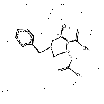 CC(=O)N1[C@H](CC(=O)O)CN(Cc2ccccc2)C[C@H]1C